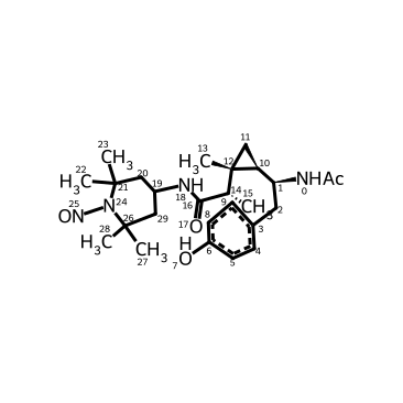 CC(=O)N[C@@H](Cc1ccc(O)cc1)[C@@H]1C[C@@]1(C)[C@H](C)C(=O)NC1CC(C)(C)N(N=O)C(C)(C)C1